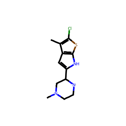 Cc1c(Cl)sc2[nH]c(C3CN(C)CC[N]3)cc12